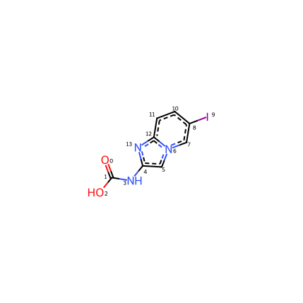 O=C(O)Nc1cn2cc(I)ccc2n1